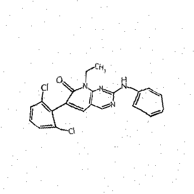 CCn1c(=O)c(-c2c(Cl)cccc2Cl)cc2cnc(Nc3ccccc3)nc21